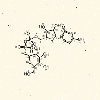 Nc1ccn([C@@H]2O[C@H](COP(=O)(O)OP(=O)(O)OC3O[C@H](CO)[C@@H](O)[C@H](O)[C@H]3O)[C@@H](O)[C@H]2O)c(=O)n1